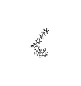 CCS(=O)(=O)N1CC2(CN(c3ccc(-c4n[nH]c5ccc(OC(C)c6c(Cl)cncc6Cl)cc45)cn3)C2)C1